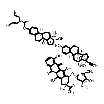 C#C[C@]1(O)CC[C@H]2[C@@H]3CCc4cc(O)ccc4[C@H]3CC[C@@]21C.CC(=O)[C@]1(O)Cc2c(O)c3c(c(O)c2[C@@H](O[C@H]2C[C@H](N)[C@H](O)[C@H](C)O2)C1)C(=O)c1c(O)cccc1C3=O.C[C@]12CC[C@@H]3c4ccc(OC(=O)N(CCCl)CCCl)cc4CC[C@H]3[C@@H]1CC[C@@H]2O